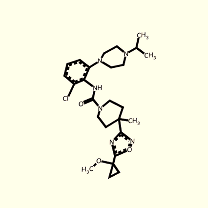 COC1(c2nc(C3(C)CCN(C(=O)Nc4c(Cl)cccc4N4CCN(C(C)C)CC4)CC3)no2)CC1